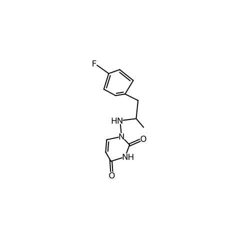 CC(Cc1ccc(F)cc1)Nn1ccc(=O)[nH]c1=O